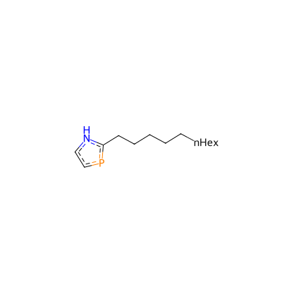 CCCCCCCCCCCc1[nH]ccp1